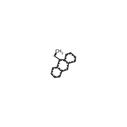 C=[C]c1c2ccccc2cc2ccccc12